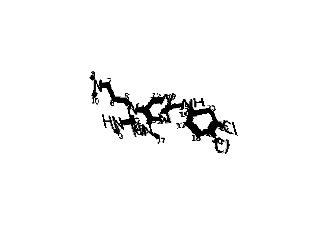 CNC(=O)N(CCCN(C)C)c1cnc(Nc2ccc(Cl)c(Cl)c2)nc1NC